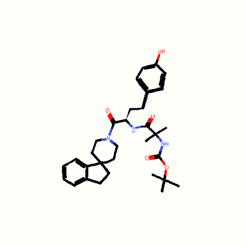 CC(C)(C)OC(=O)NC(C)(C)C(=O)N[C@H](CCc1ccc(O)cc1)C(=O)N1CCC2(CCc3ccccc32)CC1